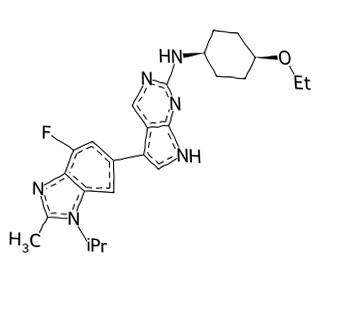 CCO[C@H]1CC[C@@H](Nc2ncc3c(-c4cc(F)c5nc(C)n(C(C)C)c5c4)c[nH]c3n2)CC1